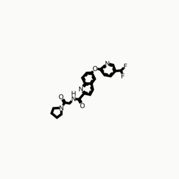 O=C(NCC(=O)N1CCCC1)c1ccc2cc(Oc3ccc(C(F)F)cn3)ccc2n1